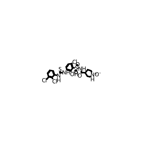 O=C(NS(=O)(=O)c1c(Cl)ccc(NC(=S)Nc2cccc(Cl)c2Cl)c1O)C1CC[NH+]([O-])CC1